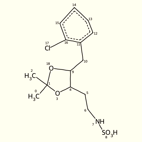 CC1(C)OC(CCNS(=O)(=O)O)C(Cc2ccccc2Cl)O1